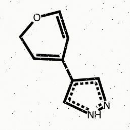 C1=CC(c2cn[nH]c2)=CCO1